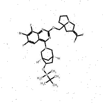 CC(C)(C)[Si](C)(C)O[C@@H]1C[C@H]2C[C@@H]1CN(c1nc(OCC34CCCN3CC(=C(F)F)C4)nc3c(F)c(Br)c(F)cc13)C2